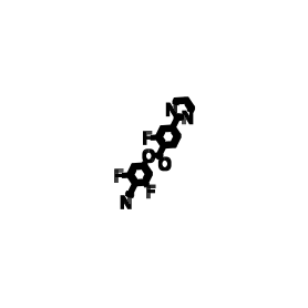 N#Cc1c(F)cc(OC(=O)c2ccc(-c3ncccn3)cc2F)cc1F